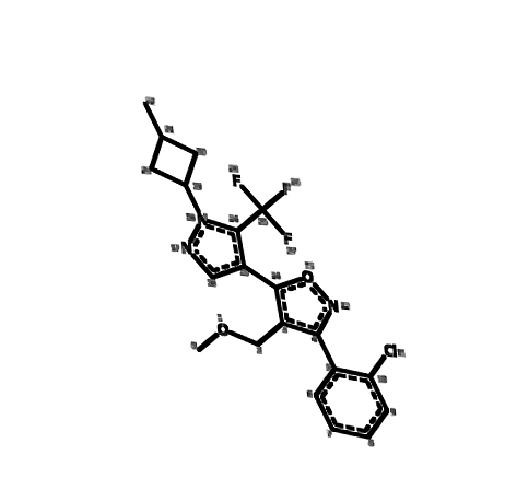 COCc1c(-c2ccccc2Cl)noc1-c1cnn(C2CC(C)C2)c1C(F)(F)F